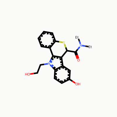 CCN(CC)C(=O)C1Sc2ccccc2-c2c1c1cc(O)ccc1n2CCO